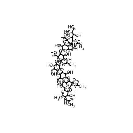 CC(=O)NC1[C@H](OC2C(O)[C@H](O)[C@@H](CO)O[C@@H]2OC2[C@H](O)C(CO)O[C@@H](O[C@@H]3C(CO)O[C@@H](O[C@@H]4C(CO)O[C@@H](C)[C@@H](NC(C)=O)C4O)[C@@H](NC(C)=O)C3O)[C@@H]2O)OC(CO)[C@@H](O[C@@H]2OC(CO)[C@H](O)C(O[C@]3(C(=O)O)C[C@@H](O)[C@@H](NC(C)=O)C([C@@H](O)[C@H](O)CO)O3)[C@@H]2O)[C@@H]1O